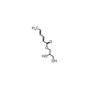 C/C=C/C=C/C(=O)OCC(O)CO